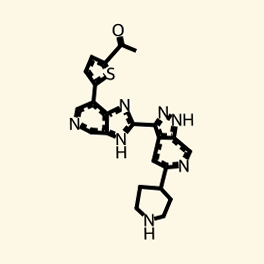 CC(=O)c1ccc(-c2cncc3[nH]c(-c4n[nH]c5cnc(C6CCNCC6)cc45)nc23)s1